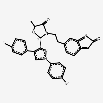 CC1O[C@@H](c2nn(-c3ccc(Br)cc3)cc2-c2ccc(F)cc2)N(CCc2ccc3c(c2)=NC(=O)C=3)C1=O